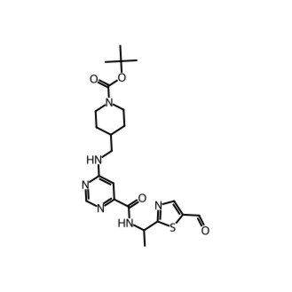 CC(NC(=O)c1cc(NCC2CCN(C(=O)OC(C)(C)C)CC2)ncn1)c1ncc(C=O)s1